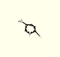 Oc1[c]cc(F)nc1